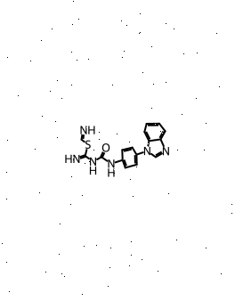 N=CSC(=N)NC(=O)Nc1ccc(-n2cnc3ccccc32)cc1